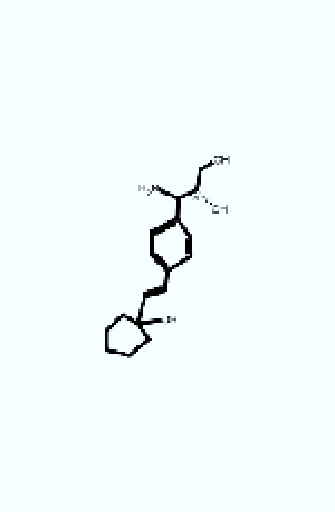 NC(c1ccc(C=CC2(O)CCCCC2)cc1)[C@@H](O)CO